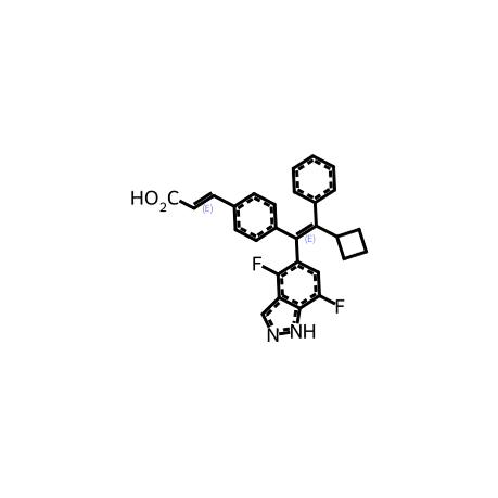 O=C(O)/C=C/c1ccc(/C(=C(\c2ccccc2)C2CCC2)c2cc(F)c3[nH]ncc3c2F)cc1